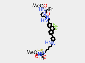 COC(=O)NC(C(=O)N1CCCC1c1ncc(-c2ccc3c(c2)C(F)(F)C(F)(F)c2cc(-c4ccc5nc(CCCCCN(S)C(=O)[C@@H](NC(=O)OC)C(C)C)[nH]c5c4)ccc2-3)[nH]1)C(C)C